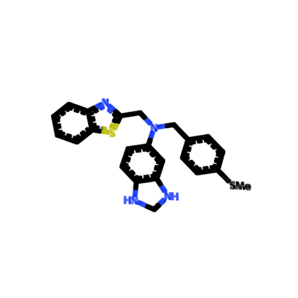 CSc1ccc(CN(Cc2nc3ccccc3s2)c2ccc3c(c2)NCN3)cc1